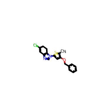 N#Cc1sc(-n2cnc3c2CCC(Cl)=C3)cc1OCc1ccccc1